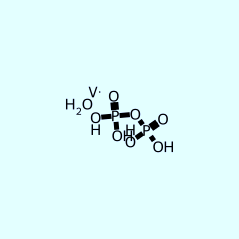 O.O=P(O)(O)OP(=O)(O)O.[V]